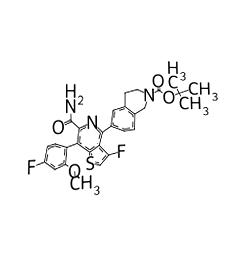 COc1cc(F)ccc1-c1c(C(N)=O)nc(-c2ccc3c(c2)CCN(C(=O)OC(C)(C)C)C3)c2c(F)csc12